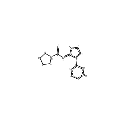 O=C(N=c1sccn1-c1cccnc1)N1CCCC1